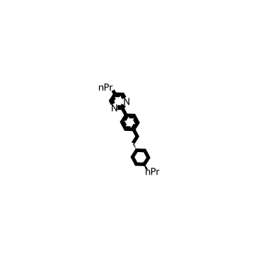 CCCc1cnc(-c2ccc(CC[C@H]3CC[C@H](CCC)CC3)cc2)nc1